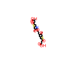 COc1cc2sc(C(=O)CCC(=O)O)cc2cc1CCCOc1nc2cc(C(=O)CC(C)C(=O)O)sc2cc1OC